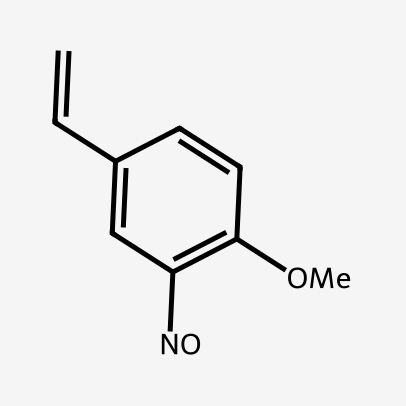 C=Cc1ccc(OC)c(N=O)c1